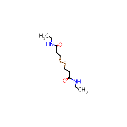 CCNC(=O)CCSSCCC(=O)NCC